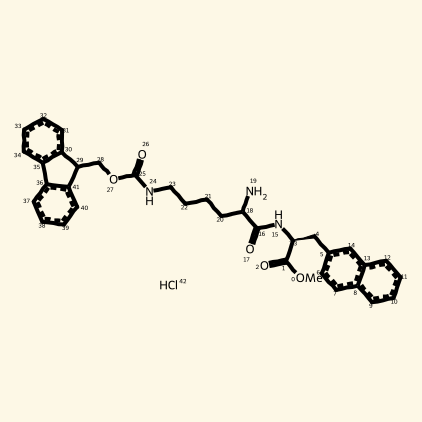 COC(=O)[C@H](Cc1ccc2ccccc2c1)NC(=O)C(N)CCCCNC(=O)OCC1c2ccccc2-c2ccccc21.Cl